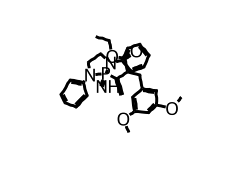 C=C(C(Cc1cc(OC)cc(OC)c1)C(=O)OCC)P1(=N)N(c2ccccc2)CCN1c1ccccc1